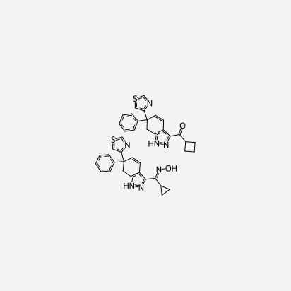 O=C(c1n[nH]c2c1C=CC(c1ccccc1)(c1cscn1)C2)C1CCC1.ON=C(c1n[nH]c2c1C=CC(c1ccccc1)(c1cscn1)C2)C1CC1